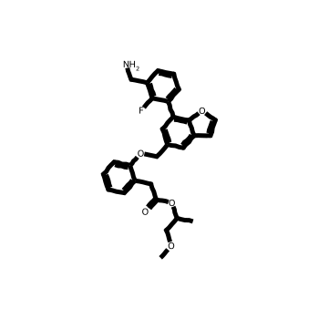 COCC(C)OC(=O)Cc1ccccc1OCc1cc(-c2cccc(CN)c2F)c2occc2c1